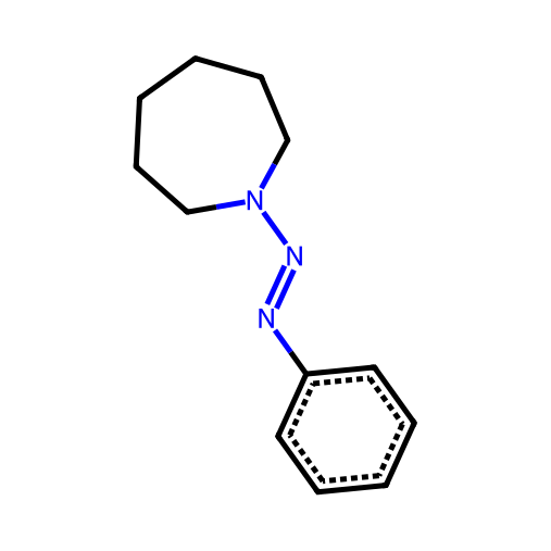 c1ccc(N=NN2CCCCCC2)cc1